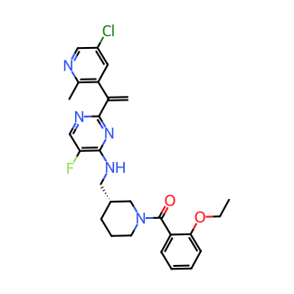 C=C(c1ncc(F)c(NC[C@H]2CCCN(C(=O)c3ccccc3OCC)C2)n1)c1cc(Cl)cnc1C